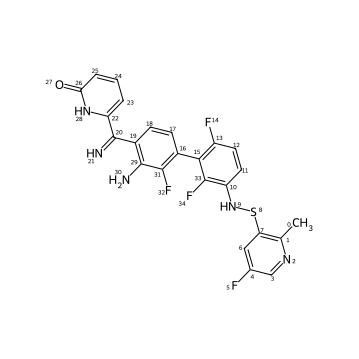 Cc1ncc(F)cc1SNc1ccc(F)c(-c2ccc(C(=N)c3cccc(=O)[nH]3)c(N)c2F)c1F